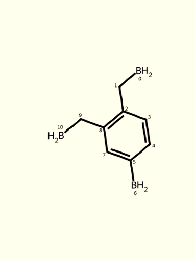 BCc1ccc(B)cc1CB